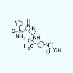 CC(C(=O)Nc1cnc2[nH]cc(/C=C(/C(N)=O)c3ccccc3)c2c1)c1ccc(N2CCC(O)C2=O)cc1